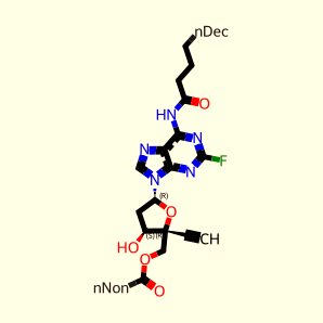 C#C[C@]1(COC(=O)CCCCCCCCC)O[C@@H](n2cnc3c(NC(=O)CCCCCCCCCCCCC)nc(F)nc32)C[C@@H]1O